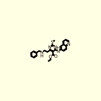 CCOC(=O)c1c(CCNCc2ccccc2)nc(SC)nc1Nc1ccc2ncccc2c1